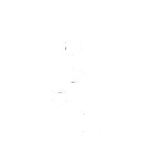 CC(C)Oc1ccc(-c2nnc(-n3ncc4c3CNC(C(=O)OC(C)(C)C)CC4)s2)cc1Cl